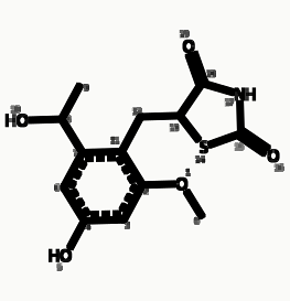 COc1cc(O)cc(C(C)O)c1CC1SC(=O)NC1=O